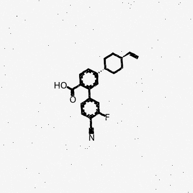 C=C[C@H]1CC[C@H](c2ccc(C(=O)O)c(-c3ccc(C#N)c(F)c3)c2)CC1